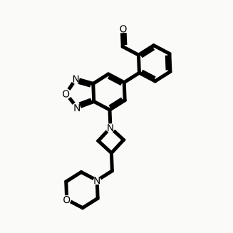 O=Cc1ccccc1-c1cc(N2CC(CN3CCOCC3)C2)c2nonc2c1